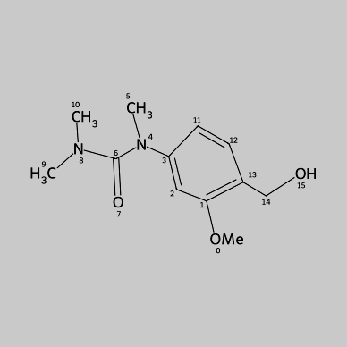 COc1cc(N(C)C(=O)N(C)C)ccc1CO